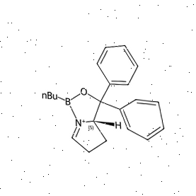 CCCCB1OC(c2ccccc2)(c2ccccc2)[C@@H]2CCC=[N+]12